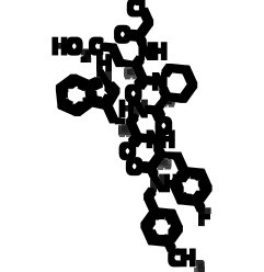 Cc1ccc(CNC(=O)[C@H](Cc2ccc(F)cc2)NC(=O)[C@H](Cc2c[nH]c3ccccc23)NC(=O)[C@@H]2CCCCN2C(=O)[C@@H](CCC(=O)O)NC(=O)CCl)cc1